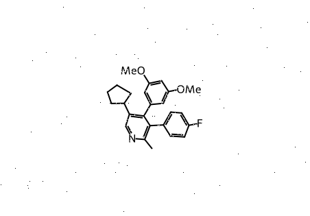 COc1cc(OC)cc(-c2c(C3CCCC3)cnc(C)c2-c2ccc(F)cc2)c1